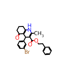 CC1=C(C(=O)OCCc2ccccc2)C(c2cccc(Br)c2)C2=C(CCCC2=O)N1